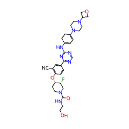 N#Cc1cc(-c2ncnc(NC3=CC=C(N4CCN(C5COC5)CC4)CC3)n2)ccc1O[C@H]1CCN(C(=O)NCCO)C[C@H]1F